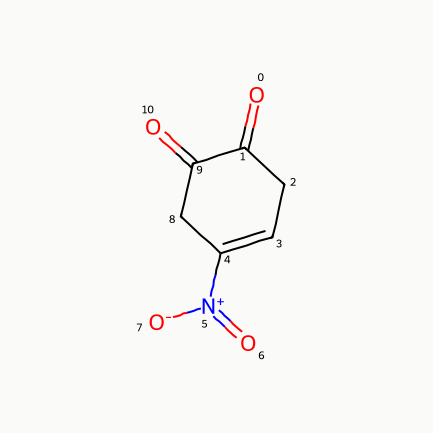 O=C1CC=C([N+](=O)[O-])CC1=O